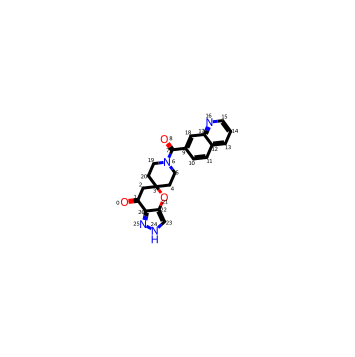 O=C1CC2(CCN(C(=O)c3ccc4cccnc4c3)CC2)Oc2c[nH]nc21